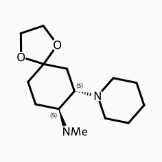 CN[C@H]1CCC2(C[C@@H]1N1CCCCC1)OCCO2